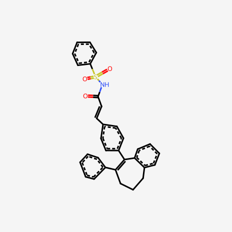 O=C(C=Cc1ccc(C2=C(c3ccccc3)CCCc3ccccc32)cc1)NS(=O)(=O)c1ccccc1